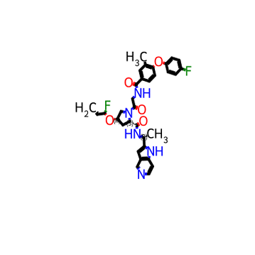 C=CC(F)O[C@@H]1C[C@@H](C(=O)N[C@H](C)c2cc3cnccc3[nH]2)N(C(=O)CNC(=O)c2ccc(Oc3ccc(F)cc3)c(C)c2)C1